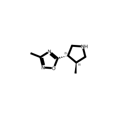 Cc1noc([C@@H]2CNC[C@H]2C)n1